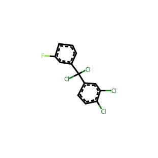 Fc1cccc(C(Cl)(Cl)c2ccc(Cl)c(Cl)c2)c1